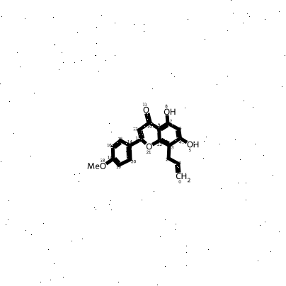 C=CCc1c(O)cc(O)c2c(=O)cc(-c3ccc(OC)cc3)oc12